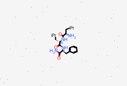 CC(C)C[C@H](NC(=O)[C@@H](N)CC(C)C)C(=O)N[C@@H](Cc1ccccc1)C(N)=O